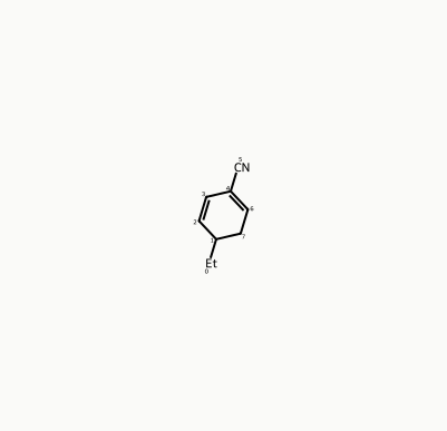 CCC1C=CC(C#N)=CC1